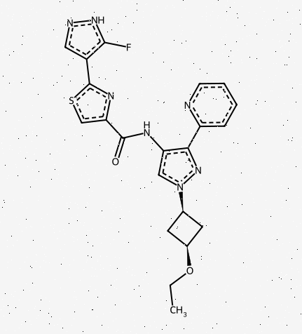 CCO[C@H]1C[C@@H](n2cc(NC(=O)c3csc(-c4cn[nH]c4F)n3)c(-c3ccccn3)n2)C1